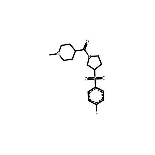 CN1CCC(C(=O)N2CCC(S(=O)(=O)c3ccc(F)cc3)C2)CC1